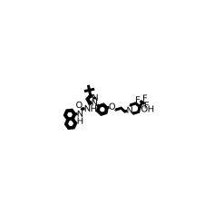 CC(C)(C)c1cc(NC(=O)Nc2cccc3ccccc23)n(-c2cccc(OCCCN3CCC(O)(C(F)(F)F)CC3)c2)n1